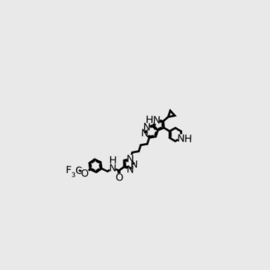 O=C(NCc1cccc(OC(F)(F)F)c1)c1cn(CCCCc2cc3c(C4=CCNCC4)c(C4CC4)[nH]c3nn2)nn1